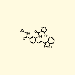 Cc1ccsc1C(=O)Nc1cc(C(=O)NC2CC2)ccc1C=Cc1n[nH]c2ccccc12